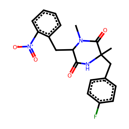 CN1C(=O)C(C)(Cc2ccc(F)cc2)NC(=O)C1Cc1ccccc1[N+](=O)[O-]